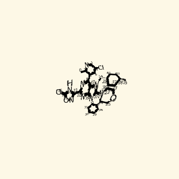 Cc1ncc(Cl)cc1-c1nc(-c2noc(=O)[nH]2)nc2nc(N3CCOC[C@H]3c3ccccc3)n(C[C@H]3CC[C@H](C)CC3)c12